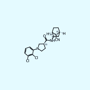 N#CN1[C@H]2CC[C@@H]1[C@H](NC(=O)[C@H]1CCN(c3cccc(Cl)c3Cl)C1)C2